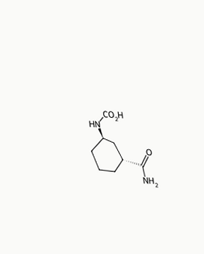 NC(=O)[C@@H]1CCC[C@@H](NC(=O)O)C1